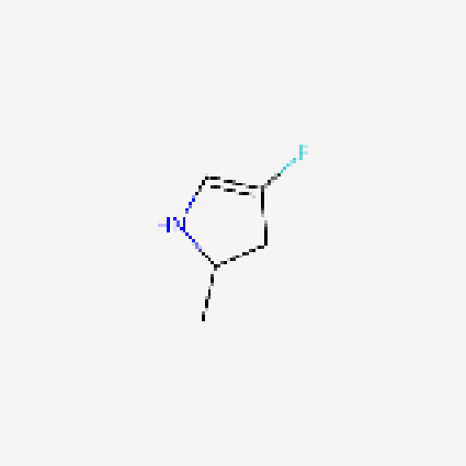 CC1CC(F)=CN1